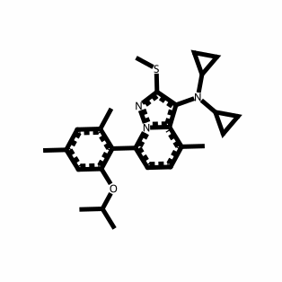 CSc1nn2c(-c3c(C)cc(C)cc3OC(C)C)ccc(C)c2c1N(C1CC1)C1CC1